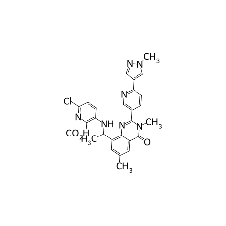 Cc1cc(C(C)Nc2ccc(Cl)nc2C(=O)O)c2nc(-c3ccc(-c4cnn(C)c4)nc3)n(C)c(=O)c2c1